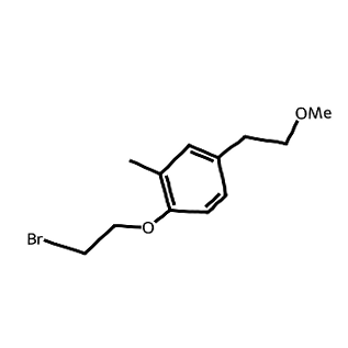 COCCc1ccc(OCCBr)c(C)c1